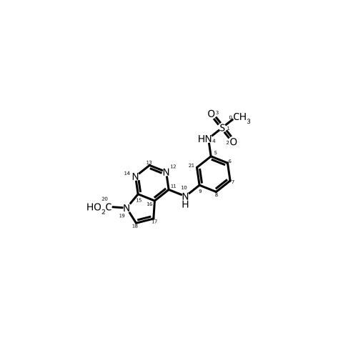 CS(=O)(=O)Nc1cccc(Nc2ncnc3c2ccn3C(=O)O)c1